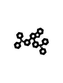 c1ccc(P(c2ccccc2)c2cccc(-c3ccc4c(c3-c3cccc(P(c5ccccc5)c5ccccc5)c3)Cc3ccccc3-4)c2)cc1